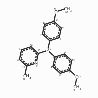 COc1ccc(P(c2ccc(OC)cc2)c2cccc(C)n2)cc1